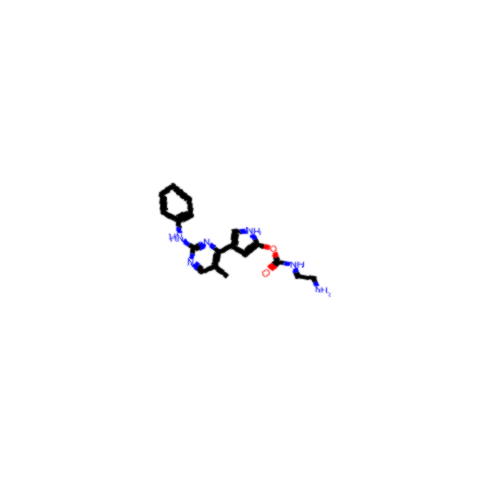 Cc1cnc(Nc2ccccc2)nc1-c1c[nH]c(OC(=O)NCCN)c1